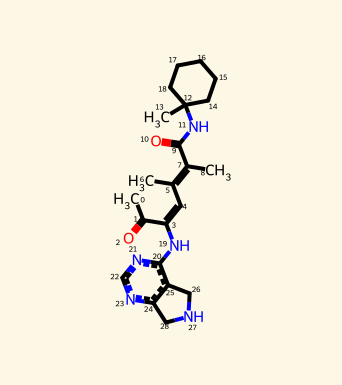 CC(=O)/C(=C\C(C)=C(/C)C(=O)NC1(C)CCCCC1)Nc1ncnc2c1CNC2